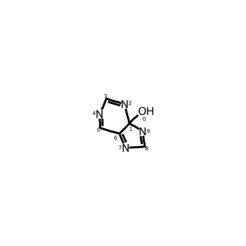 OC12N=CN=CC1=NC=N2